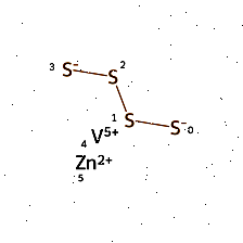 [S-]SS[S-].[V+5].[Zn+2]